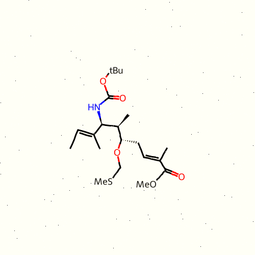 C/C=C(\C)[C@@H](NC(=O)OC(C)(C)C)[C@@H](C)[C@H](C/C=C(\C)C(=O)OC)OCSC